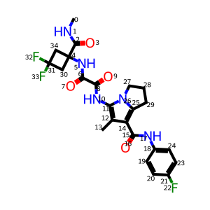 CNC(=O)C1(NC(=O)C(=O)Nc2c(C)c(C(=O)Nc3ccc(F)cc3)c3n2CCC3)CC(F)(F)C1